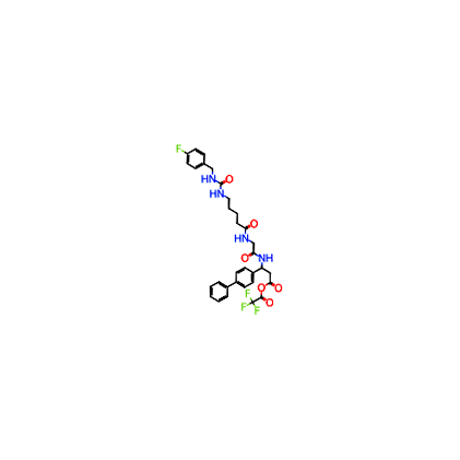 O=C(CCCCNC(=O)NCc1ccc(F)cc1)NCC(=O)NC(CC(=O)OC(=O)C(F)(F)F)c1ccc(-c2ccccc2)cc1